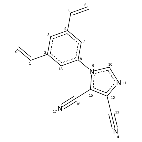 C=Cc1cc(C=C)cc(-n2cnc(C#N)c2C#N)c1